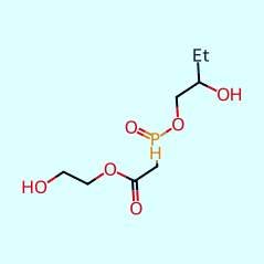 CCC(O)CO[PH](=O)CC(=O)OCCO